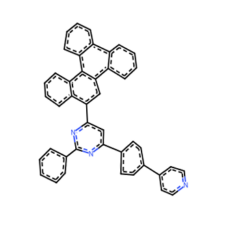 c1ccc(-c2nc(-c3ccc(-c4ccncc4)cc3)cc(-c3cc4c5ccccc5c5ccccc5c4c4ccccc34)n2)cc1